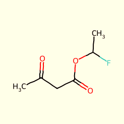 CC(=O)CC(=O)OC(C)F